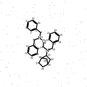 c1ccc(CN(Cc2ccccc2)OCN(Cc2ccccc2)C2CC3CCC2C3)cc1